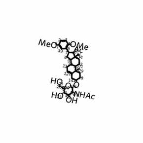 COc1ccc(OC)c(C2CC3C4CC=C5CC(OC6O[C@H](CO)C(O)[C@H](O)[C@H]6NC(C)=O)CCC5(C)C4CCC3(C)C2C(C)=O)c1